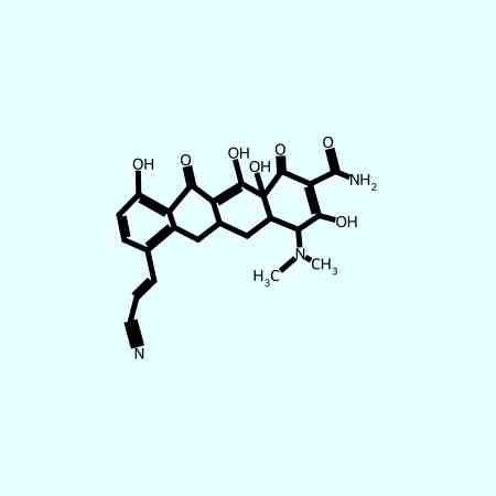 CN(C)C1C(O)=C(C(N)=O)C(=O)C2(O)C(O)=C3C(=O)c4c(O)ccc(/C=C/C#N)c4CC3CC12